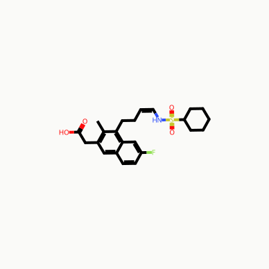 Cc1c(CC(=O)O)cc2ccc(F)cc2c1CC/C=C\NS(=O)(=O)C1CCCCC1